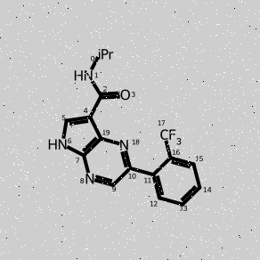 CC(C)NC(=O)c1c[nH]c2ncc(-c3ccccc3C(F)(F)F)nc12